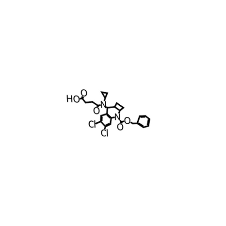 O=C(O)CCC(=O)N(C1CC1)C1c2cc(Cl)c(Cl)cc2N(C(=O)OCc2ccccc2)C2CCC21